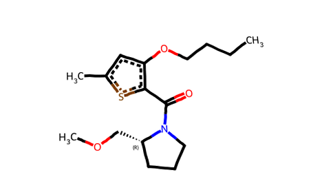 CCCCOc1cc(C)sc1C(=O)N1CCC[C@@H]1COC